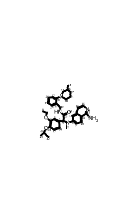 CCOc1cc(C(Nc2ccc3c(N)nccc3c2)C(=O)NCc2ccccc2N2CCCC(C)C2)ccc1OC(C)C